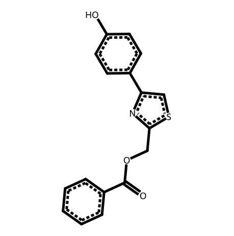 O=C(OCc1nc(-c2ccc(O)cc2)cs1)c1ccccc1